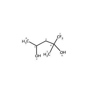 CC(O)CC(C)(O)C(F)(F)F